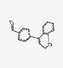 O=Cc1ccc(C2=CCOc3ccccc32)cc1